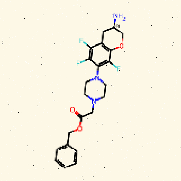 N[C@H]1COc2c(F)c(N3CCN(CC(=O)OCc4ccccc4)CC3)c(F)c(F)c2C1